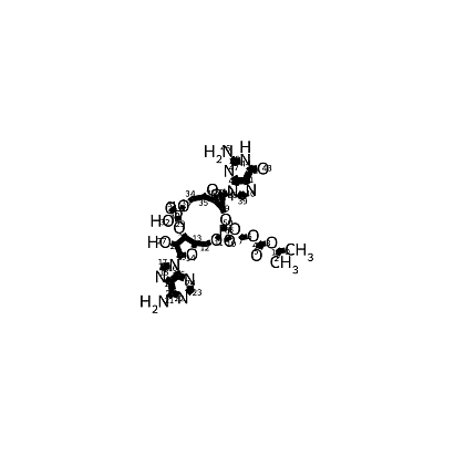 CC(C)OC(=O)OCOP1(=O)OCC2OC(n3cnc4c(N)ncnc43)C(O)C2OP(=O)(O)OCC2OC(n3cnc4c(=O)[nH]c(N)nc43)C(O1)C2O